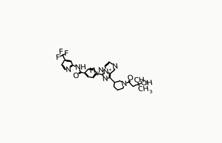 CC(C)(O)CC(=O)N1CCCC(C2=C3C=NC=C[N+]3(N)C(c3ccc(C(=O)Nc4cc(C(F)(F)F)ccn4)cc3)=N2)C1